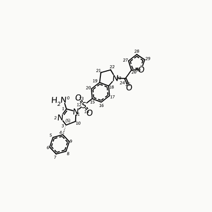 NC1=N[C@@H](c2ccccc2)CN1S(=O)(=O)c1ccc2c(c1)CCN2C(=O)c1ccco1